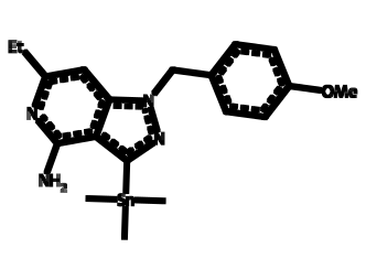 CCc1cc2c(c(N)n1)[c]([Sn]([CH3])([CH3])[CH3])nn2Cc1ccc(OC)cc1